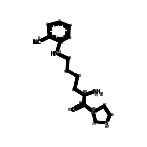 N#Cc1ccccc1NCCCCC(N)C(=O)N1CCSC1